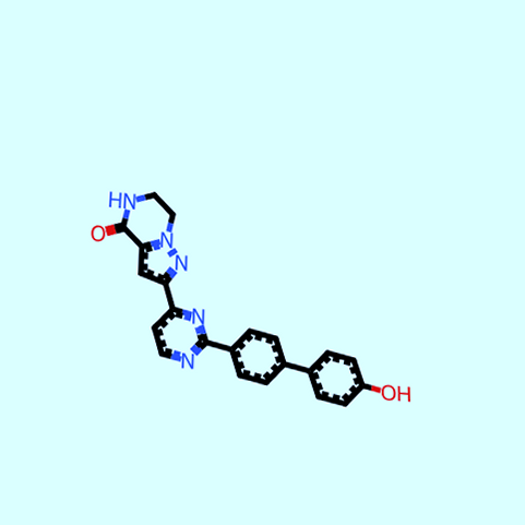 O=C1NCCn2nc(-c3ccnc(-c4ccc(-c5ccc(O)cc5)cc4)n3)cc21